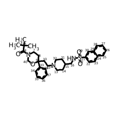 CC(C)(C)C(=O)N1CCC(CCN2CCC(CNS(=O)(=O)c3ccc4ccccc4c3)CC2)(c2ccccc2)OC1